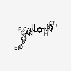 CCOCCN1CCN(C(=O)c2cnc(NCc3ccc(CNc4nccc(C(F)(F)F)n4)cc3)nc2C(F)(F)F)CC1